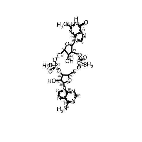 B[P@@]1(=O)OCC2OC(n3cnc4c(=O)[nH]c(C)nc43)C(O[P@](B)(=O)OCC3OC(n4cnc5c(N)ncnc54)C(O)C3O1)C2O